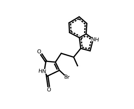 CC(CC1=C(Br)C(=O)NC1=O)c1c[nH]c2ccccc12